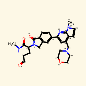 CNC(=O)C(CCC=O)N1Cc2cc(-c3cc(CN4CCOCC4)c4ccn(C)c4n3)ccc2C1=O